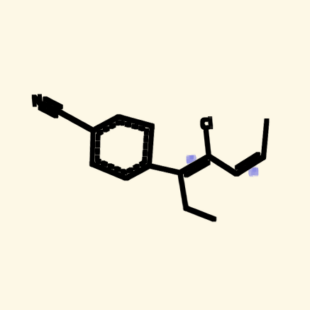 C/C=C\C(Cl)=C(/CC)c1ccc(C#N)cc1